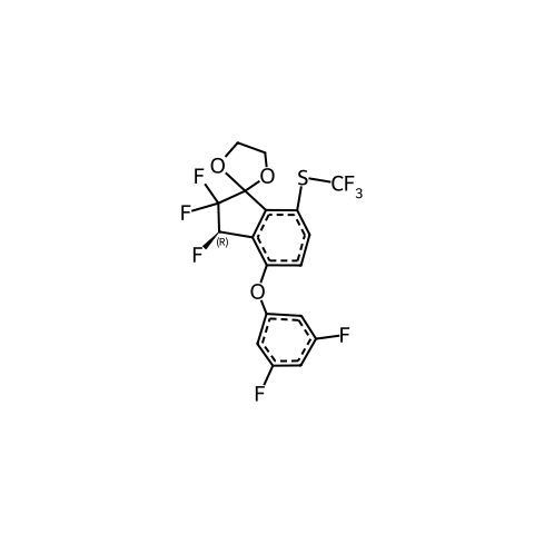 Fc1cc(F)cc(Oc2ccc(SC(F)(F)F)c3c2[C@@H](F)C(F)(F)C32OCCO2)c1